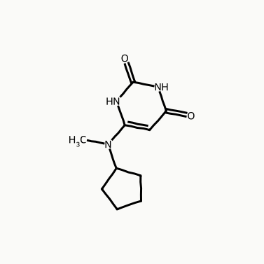 CN(c1cc(=O)[nH]c(=O)[nH]1)C1CCCC1